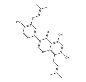 CC(C)=CCc1cc(-c2coc3c(CC=C(C)C)c(O)cc(O)c3c2=O)ccc1O